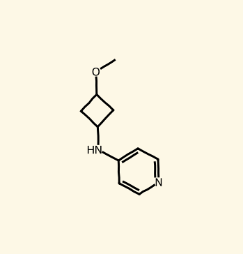 COC1CC(Nc2ccncc2)C1